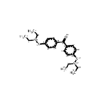 CCN(CC)Sc1ccc(C(=O)c2ccc(SN(CC)CC)cc2)cc1